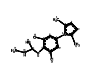 Cc1ccc(C)n1-c1cc(Cl)c(OC(O)NN)c(Cl)c1